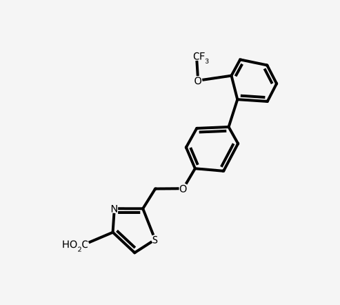 O=C(O)c1csc(COc2ccc(-c3ccccc3OC(F)(F)F)cc2)n1